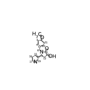 COc1ccc(CN2C(=O)C(O)CC2c2cccnc2)cc1